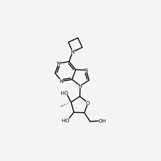 C[C@@]1(O)C(O)C(CO)OC1n1cnc2c(N3CCC3)ncnc21